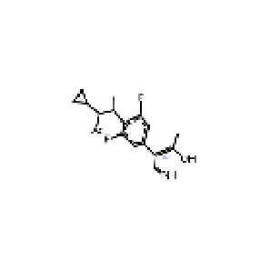 CC(=O)C(C1CC1)C(C)c1c(F)cc(/C(C=N)=C(\C)O)cc1F